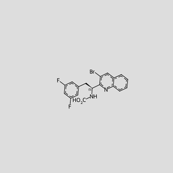 O=C(O)N[C@@H](Cc1cc(F)cc(F)c1)c1nc2ccccc2cc1Br